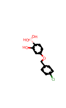 OB(O)c1ccc(OCc2ccc(Cl)cc2)cc1O